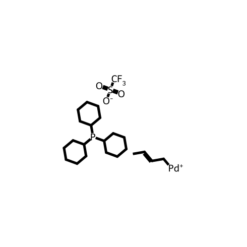 C/C=C/[CH2][Pd+].C1CCC(P(C2CCCCC2)C2CCCCC2)CC1.O=S(=O)([O-])C(F)(F)F